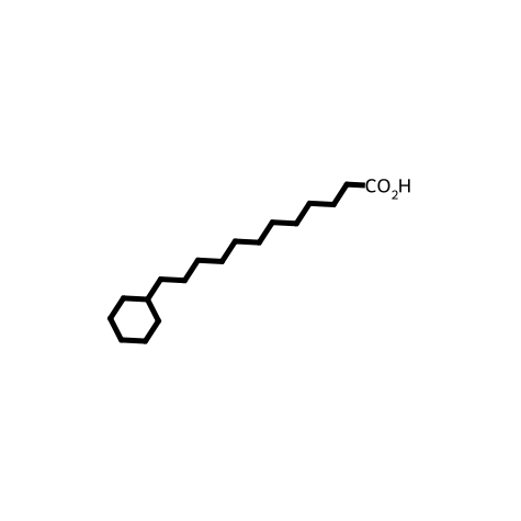 O=C(O)CCCCCCCCCCCC1CCCCC1